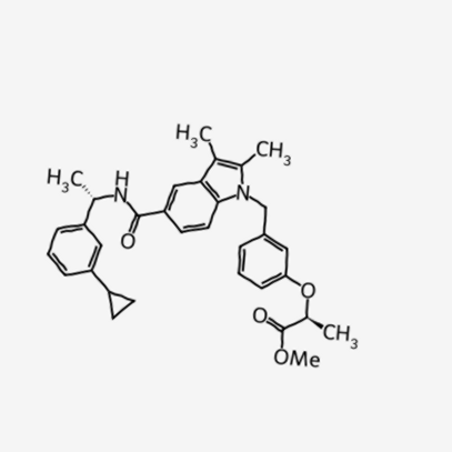 COC(=O)[C@H](C)Oc1cccc(Cn2c(C)c(C)c3cc(C(=O)N[C@@H](C)c4cccc(C5CC5)c4)ccc32)c1